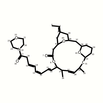 C/C=C1\CC2CC(=O)OC(/C=C/C=C\C=C\CC(=O)N3CCOCC3)C(C)/C=C/C(C)CC3CCCC(CC(C1)O2)O3